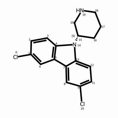 Clc1ccc2c(c1)c1cc(Cl)ccc1n2[C@H]1CCCNC1